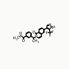 CNC(=O)c1cccc(C(C)n2ccc3cc(-c4cn[nH]c4C(F)(F)F)ccc3c2=O)c1